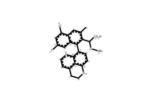 CCCCOC(C(=O)O)c1c(C)cc2c(Cl)cc(F)cc2c1-c1ccc2c3c(ccnc13)CCO2